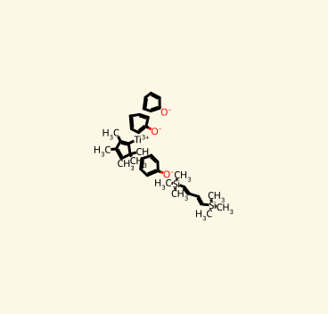 CC1=C(C)C(C)(C)[C]([Ti+3])=C1C.C[Si](C)(C)C=CC=C[Si](C)(C)C.[O-]c1ccccc1.[O-]c1ccccc1.[O-]c1ccccc1